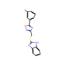 Ic1cccc(-c2nc(CSc3nc4ccccc4[nH]3)no2)c1